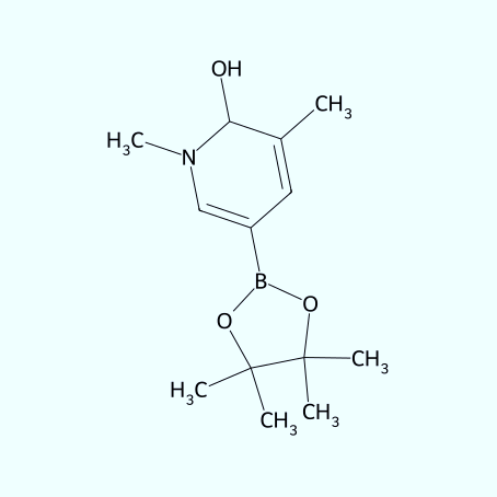 CC1=CC(B2OC(C)(C)C(C)(C)O2)=CN(C)C1O